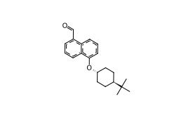 CC(C)(C)[C@H]1CC[C@H](Oc2cccc3c(C=O)cccc23)CC1